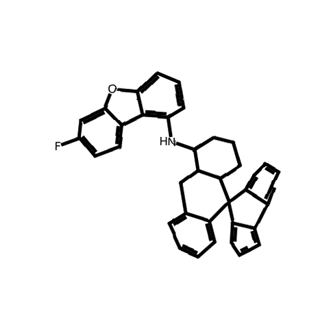 Fc1ccc2c(c1)oc1cccc(NC3CCCC4C3Cc3ccccc3C43c4ccccc4-c4ccccc43)c12